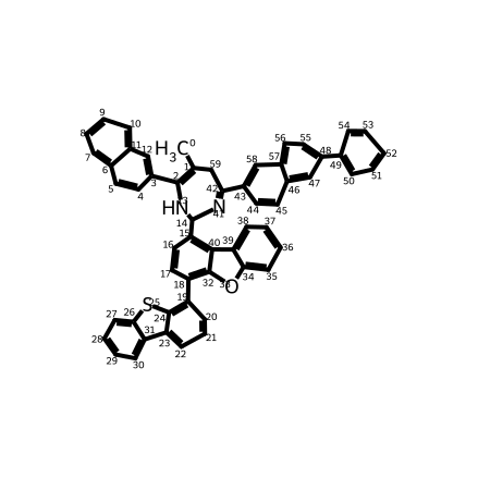 CC1=C(c2ccc3ccccc3c2)NC(c2ccc(-c3cccc4c3sc3ccccc34)c3oc4ccccc4c23)N=C(c2ccc3cc(-c4ccccc4)ccc3c2)C1